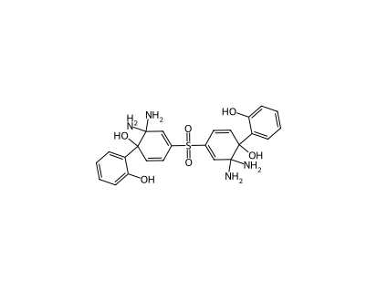 NC1(N)C=C(S(=O)(=O)C2=CC(N)(N)C(O)(c3ccccc3O)C=C2)C=CC1(O)c1ccccc1O